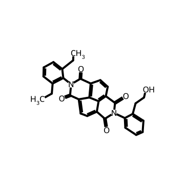 CCc1cccc(CC)c1N1C(=O)c2ccc3c4c(ccc(c24)C1=O)C(=O)N(c1ccccc1CCO)C3=O